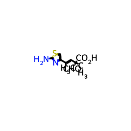 CC(C)(C=C([C]=O)c1csc(N)n1)C(=O)O